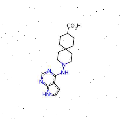 O=C(O)C1CCC2(CC1)CCN(Nc1ncnc3[nH]ccc13)CC2